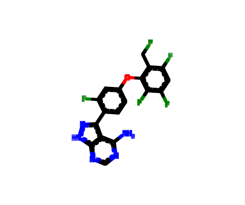 Nc1ncnc2[nH]nc(-c3ccc(Oc4c(F)c(F)cc(F)c4CF)cc3F)c12